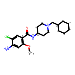 COc1cc(N)c(Cl)cc1C(=O)NC1CCN(CC2CCCCC2)CC1